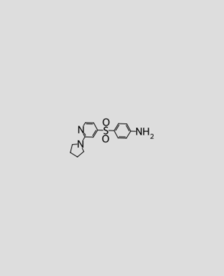 Nc1ccc(S(=O)(=O)c2ccnc(N3CCCC3)c2)cc1